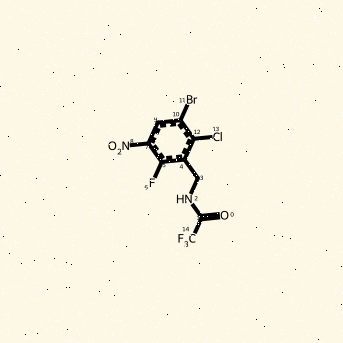 O=C(NCc1c(F)c([N+](=O)[O-])cc(Br)c1Cl)C(F)(F)F